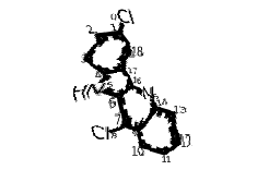 Clc1ccc2[nH]c3c(Cl)c4ccccc4nc3c2c1